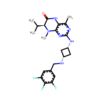 Cc1nc(N[C@H]2C[C@@H](NCc3cc(F)c(F)c(F)c3)C2)nc2c1NC(=O)[C@H](C(C)C)N2C